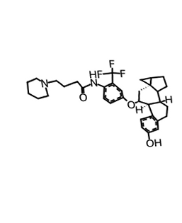 O=C(CCCN1CCCCC1)Nc1ccc(O[C@H]2C[C@]34CC3CCC4[C@@H]3CCc4cc(O)ccc4[C@@H]23)cc1C(F)(F)F